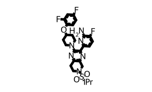 CC(C)S(=O)(=O)N1CCc2nc(N3CCC(Oc4ccc(F)cc4F)CC3)c(-c3ccc(F)c(N)n3)nc2C1